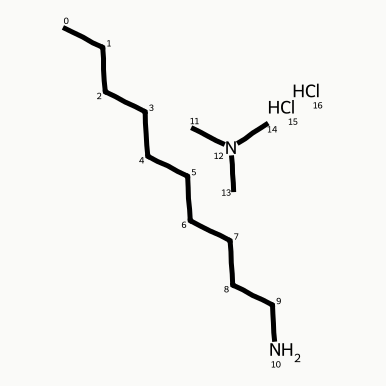 CCCCCCCCCCN.CN(C)C.Cl.Cl